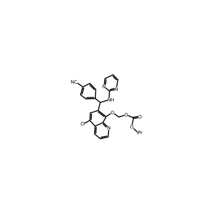 CC(C)OC(=O)OCOc1c(C(Nc2ncccn2)c2ccc(C#N)cc2)cc(Cl)c2cccnc12